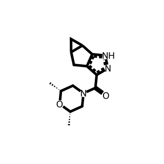 C[C@@H]1CN(C(=O)c2n[nH]c3c2CC2CC32)C[C@H](C)O1